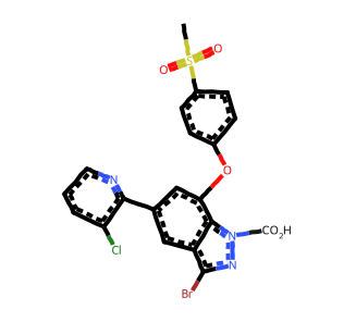 CS(=O)(=O)c1ccc(Oc2cc(-c3ncccc3Cl)cc3c(Br)nn(C(=O)O)c23)cc1